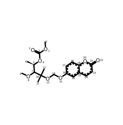 COC(=O)O[C@H](C)C(OC)C(C)(C)OCOc1ccc2oc(=O)ccc2c1